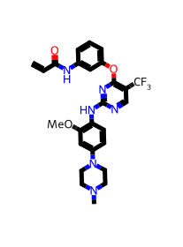 C=CC(=O)Nc1cccc(Oc2nc(Nc3ccc(N4CCN(C)CC4)cc3OC)ncc2C(F)(F)F)c1